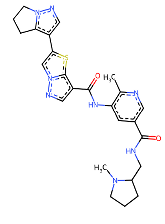 Cc1ncc(C(=O)NCC2CCCN2C)cc1NC(=O)c1cnn2cc(-c3cnn4c3CCC4)sc12